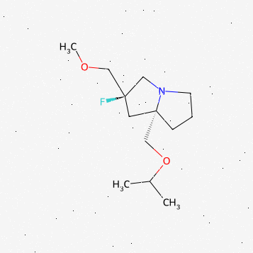 COC[C@]1(F)CN2CCC[C@@]2(COC(C)C)C1